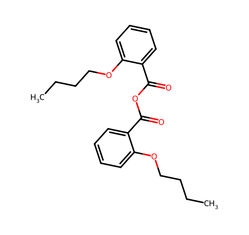 CCCCOc1ccccc1C(=O)OC(=O)c1ccccc1OCCCC